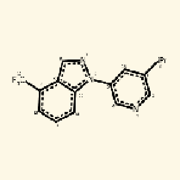 CC(C)c1cncc(-n2ncc3c(C(F)(F)F)cccc32)c1